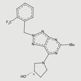 CC(C)(C)c1nc(N2CC[C@H](O)C2)c2nn(Cc3ccccc3C(F)(F)F)nc2n1